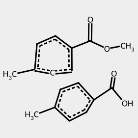 COC(=O)c1ccc(C)cc1.Cc1ccc(C(=O)O)cc1